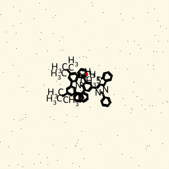 CC(C)(C)c1cc(-c2ccccc2)c2c(c1)c1cc(C(C)(C)C)cc(C(C)(C)C)c1n2-c1c(-c2ccccc2)cc(-c2nc(-c3ccccc3)nc3c2sc2ccccc23)cc1-c1ccccc1